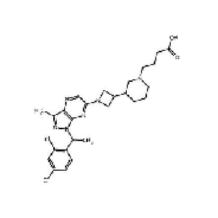 Cc1nn(C(C)c2ccc(Cl)cc2Cl)c2nc(N3CC(C4CCCN(CCCC(=O)O)C4)C3)cnc12